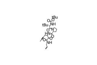 C=CCNC(=O)C(=O)C(CC#CC)NC(=O)[C@@H]1CCCN1C(=O)[C@@H](NC(=O)OC(C)(C)C)C(C)(C)C